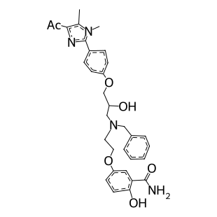 CC(=O)c1nc(-c2ccc(OCC(O)CN(CCOc3ccc(O)c(C(N)=O)c3)Cc3ccccc3)cc2)n(C)c1C